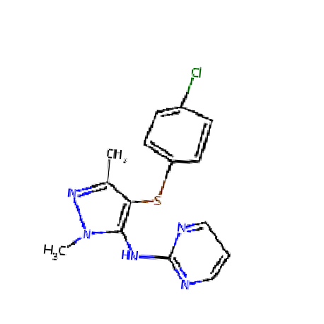 Cc1nn(C)c(Nc2ncccn2)c1Sc1ccc(Cl)cc1